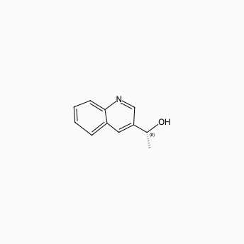 C[C@@H](O)c1cnc2ccccc2c1